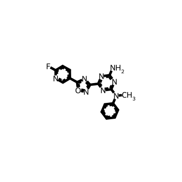 CN(c1ccccc1)c1nc(N)nc(-c2noc(-c3ccc(F)nc3)n2)n1